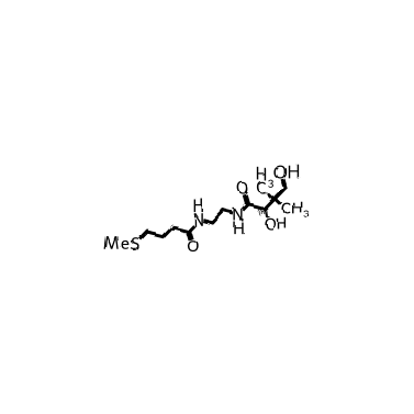 CSCCCC(=O)NCCNC(=O)[C@H](O)C(C)(C)CO